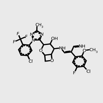 COc1cc(Cl)c(F)cc1/C(C=N)=C/NC1C(O)C(c2nc(C)nn2-c2cc(Cl)ccc2C(F)(F)F)OC2COC21